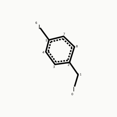 I[CH]c1ccc(I)cc1